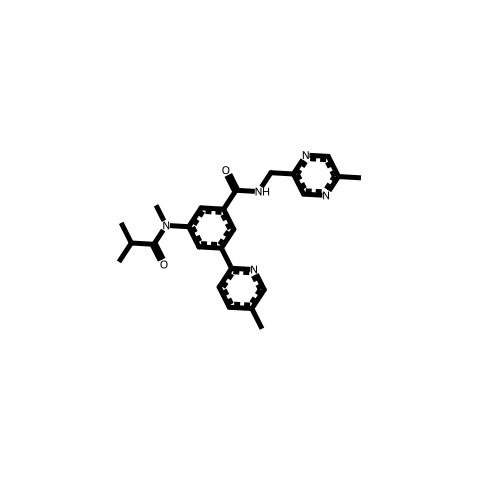 Cc1ccc(-c2cc(C(=O)NCc3cnc(C)cn3)cc(N(C)C(=O)C(C)C)c2)nc1